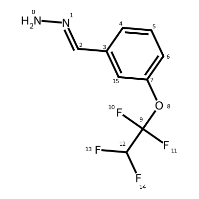 NN=Cc1cccc(OC(F)(F)C(F)F)c1